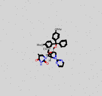 COc1ccc(C(OC[C@@]23CN(c4ncccn4)[C@@H]([C@H](n4cc(C)c(=O)[nH]c4=O)O2)[C@@H]3CC(=O)O)(c2ccccc2)c2ccc(OC)cc2)cc1